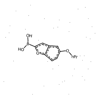 CCCOc1ccc2oc(B(O)O)cc2c1